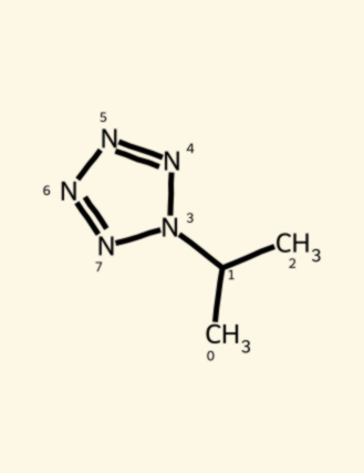 CC(C)n1nnnn1